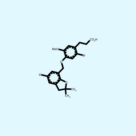 COc1cc(CCC(=O)O)c(Br)cc1OCc1cc(Cl)cc2c1OC(C)(C)C2